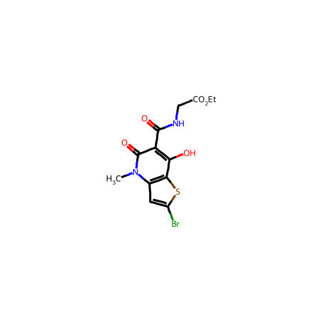 CCOC(=O)CNC(=O)c1c(O)c2sc(Br)cc2n(C)c1=O